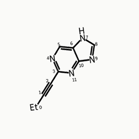 CCC#Cc1ncc2[nH]cnc2n1